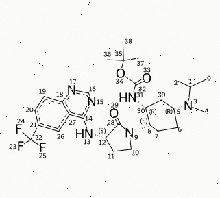 CC(C)N(C)[C@@H]1CC[C@H](N2CC[C@H](Nc3ncnc4ccc(C(F)(F)F)cc34)C2=O)[C@H](NC(=O)OC(C)(C)C)C1